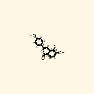 O=c1oc(-c2ccc(O)cc2)cc2c(Cl)c(O)ccc12